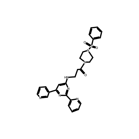 O=C(CCNc1cc(-c2cccnc2)nc(-c2ccccn2)n1)N1CCN(S(=O)(=O)c2ccccc2)CC1